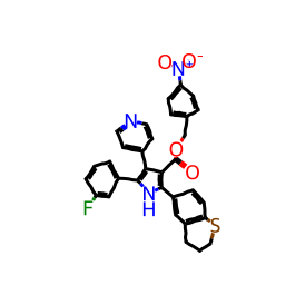 O=C(OCc1ccc([N+](=O)[O-])cc1)c1c(-c2ccc3c(c2)CCCS3)[nH]c(-c2cccc(F)c2)c1-c1ccncc1